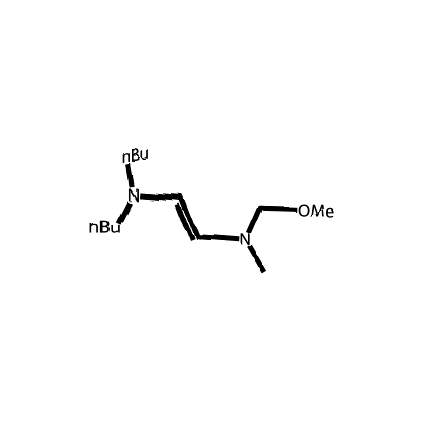 CCCCN(C=CN(C)COC)CCCC